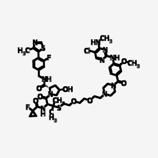 CNc1nc(Nc2ccc(C(=O)N3CCN(CCOCCOCCSC(C)(C)C(NC(=O)C4(F)CC4)C(=O)N4C[C@H](O)C[C@H]4C(=O)NCc4ccc(-c5scnc5C)c(F)c4)CC3)cc2OC)ncc1Cl